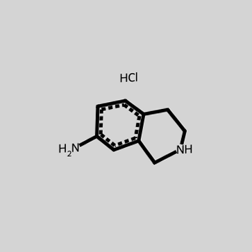 Cl.Nc1ccc2c(c1)CNCC2